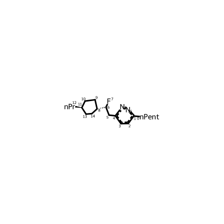 CCCCCc1ccc(CC(F)[C@H]2CC[C@H](CCC)CC2)nn1